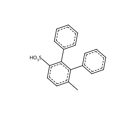 Cc1ccc(S(=O)(=O)O)c(-c2ccccc2)c1-c1ccccc1